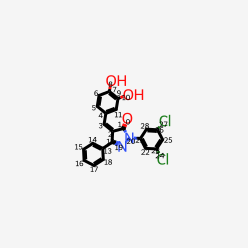 O=C1C(=Cc2ccc(O)c(O)c2)C(c2ccccc2)=NN1c1cc(Cl)cc(Cl)c1